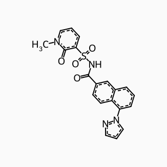 Cn1cccc(S(=O)(=O)NC(=O)c2ccc3c(-n4cccn4)cccc3c2)c1=O